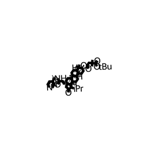 CC(C)C1=C2[C@H]3CC[C@@H]4[C@@]5(C)CC[C@H](OC(=O)CC(C)(C)C(=O)OC(C)(C)C)C(C)(C)[C@@H]5CC[C@@]4(C)[C@]3(C)CC[C@@]2(C=CC(=O)N[C@@H](C)c2ccncn2)CC1=O